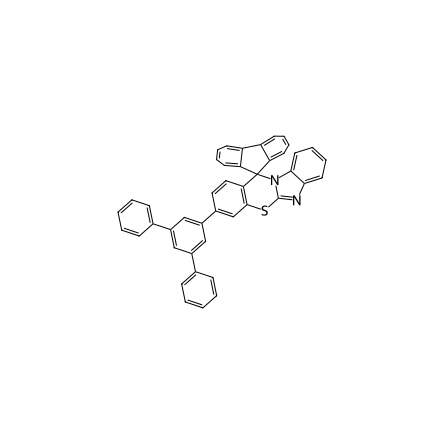 c1ccc(-c2cc(-c3ccccc3)cc(-c3ccc4c(c3)Sc3nc5ccccc5n3C43c4ccccc4-c4ccccc43)c2)cc1